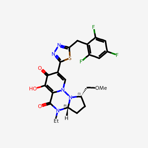 CCN1C(=O)c2c(O)c(=O)c(-c3nnc(Cc4c(F)cc(F)cc4F)s3)cn2N2[C@H](COC)CC[C@H]12